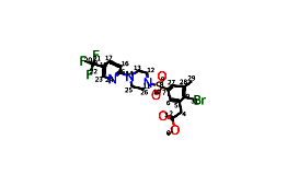 COC(=O)Cc1cc(S(=O)(=O)N2CCN(c3ccc(C(F)(F)F)cn3)CC2)cc(C)c1Br